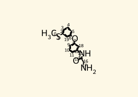 CSc1cccc(Oc2cccc(NC(=O)CN)c2)c1